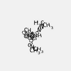 CCN(CC)C(=O)Cc1ccc(Oc2nc(Nc3ccc(N4CCN(C(C)C)CC4)cc3)ncc2C(=O)Nc2c(C)cccc2C)c(Cl)c1